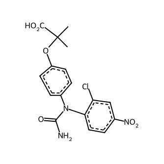 CC(C)(Oc1ccc(N(C(N)=O)c2ccc([N+](=O)[O-])cc2Cl)cc1)C(=O)O